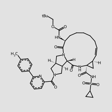 Cc1ccc(-c2cccc(C(=O)N3C[C@H]4CN5C(=O)[C@@H](NC(=O)OCC(C)(C)C)CCCCC/C=C\[C@H]6C[C@@]6(C(=O)NS(=O)(=O)C6CC6)NC(=O)[C@@H]5[C@H]4C3)n2)cc1